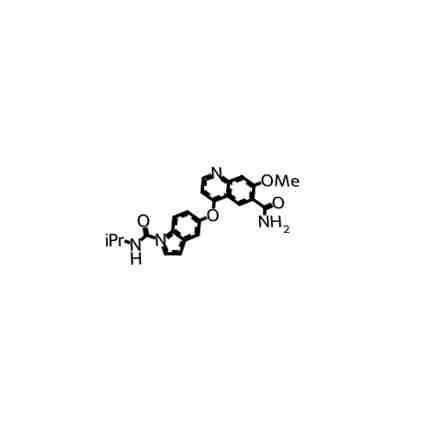 COc1cc2nccc(Oc3ccc4c(ccn4C(=O)NC(C)C)c3)c2cc1C(N)=O